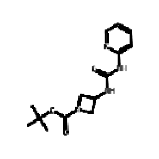 CC(C)(C)OC(=O)N1CC(NC(=O)Nc2ccccn2)C1